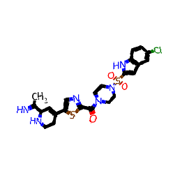 CC(=N)C1C=C(c2cnc(C(=O)N3CCN(S(=O)(=O)c4cc5cc(Cl)ccc5[nH]4)CC3)s2)CCN1